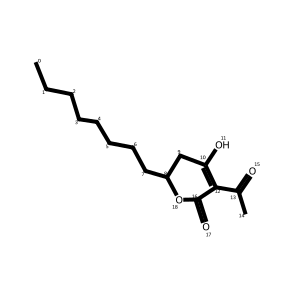 CCCCCCCCC1CC(O)=C(C(C)=O)C(=O)O1